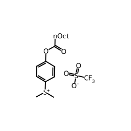 CCCCCCCCC(=O)Oc1ccc([S+](C)C)cc1.O=S(=O)([O-])C(F)(F)F